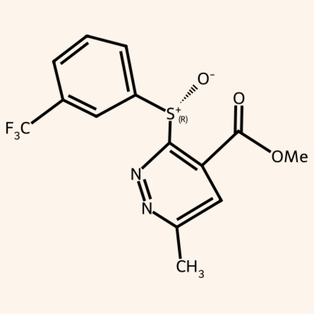 COC(=O)c1cc(C)nnc1[S@@+]([O-])c1cccc(C(F)(F)F)c1